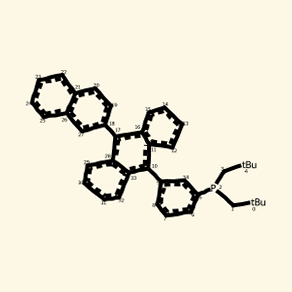 CC(C)(C)CP(CC(C)(C)C)c1cccc(-c2c3ccccc3c(-c3ccc4ccccc4c3)c3ccccc23)c1